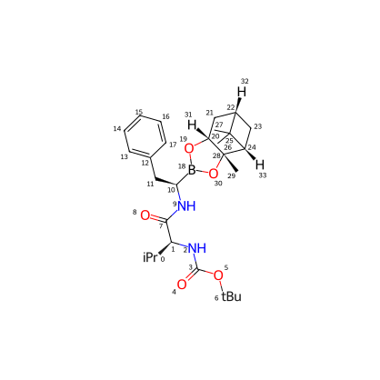 CC(C)[C@H](NC(=O)OC(C)(C)C)C(=O)N[C@@H](Cc1ccccc1)B1O[C@@H]2C[C@@H]3C[C@@H](C3(C)C)[C@]2(C)O1